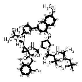 C=C[C@@H]1C[C@]1(NC(=O)[C@@H]1C[C@@H](Oc2cc(-c3csc(NC(C)C)n3)nc3cc(OC)ccc23)CN1C(=O)[C@@H](N/C(C)=N/CC(F)(F)F)C(C)(C)C)P(=O)(O)Cc1c(F)cccc1F